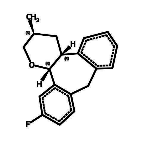 C[C@@H]1CO[C@H]2c3cc(F)ccc3Cc3ccccc3[C@H]2C1